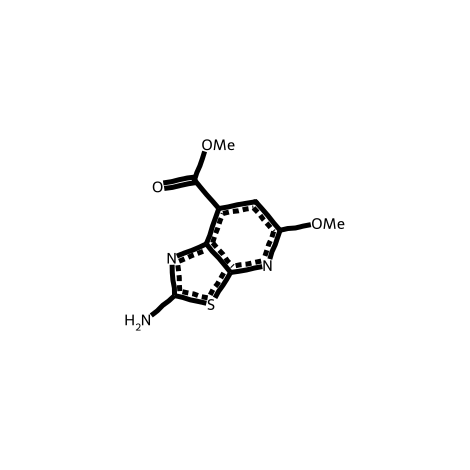 COC(=O)c1cc(OC)nc2sc(N)nc12